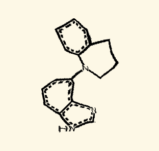 [c]1nc2c(N3CCCc4ccccc43)cccc2[nH]1